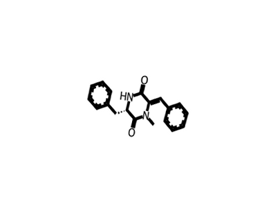 CN1C(=O)[C@H](Cc2ccccc2)NC(=O)/C1=C/c1ccccc1